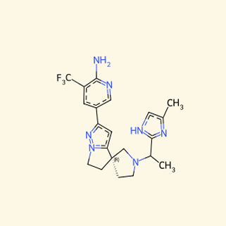 Cc1c[nH]c(C(C)N2CC[C@@]3(CCn4nc(-c5cnc(N)c(C(F)(F)F)c5)cc43)C2)n1